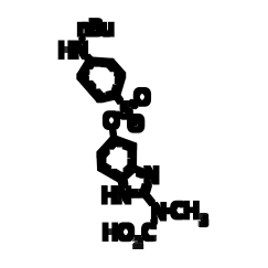 CCCCNc1ccc(S(=O)(=O)Oc2ccc3[nH]c(N(C)C(=O)O)nc3c2)cc1